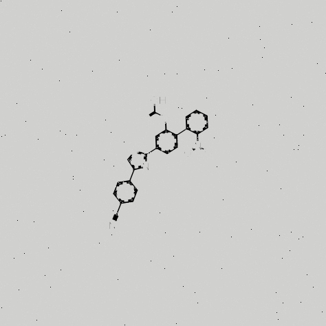 N#Cc1ccc(-c2csc(-c3ccc(-c4ccccc4[N+](=O)[O-])c(OC(=O)O)c3)n2)cc1